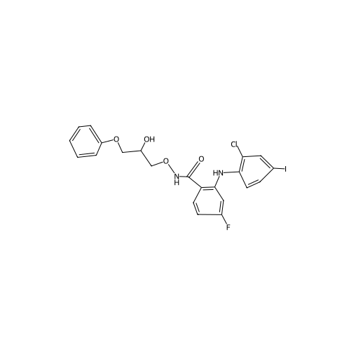 O=C(NOCC(O)COc1ccccc1)c1ccc(F)cc1Nc1ccc(I)cc1Cl